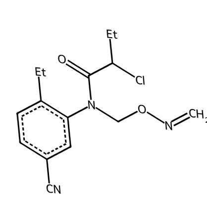 C=NOCN(C(=O)C(Cl)CC)c1cc(C#N)ccc1CC